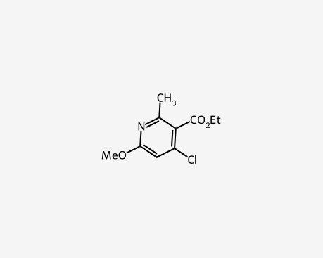 CCOC(=O)c1c(Cl)cc(OC)nc1C